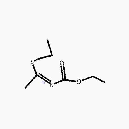 CCOC(=O)/N=C(/C)SCC